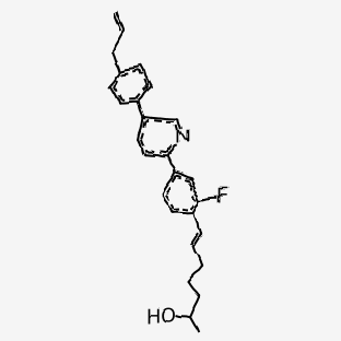 C=CCc1ccc(-c2ccc(-c3ccc(C=CCCCC(C)O)c(F)c3)nc2)cc1